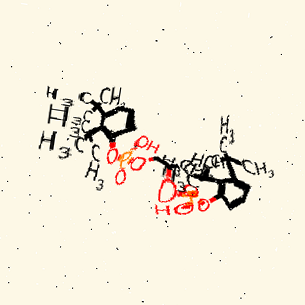 CC(COP(=O)(O)Oc1cccc(C(C)(C)C)c1C(C)(C)C)OP(=O)(O)Oc1cccc(C(C)(C)C)c1C(C)(C)C